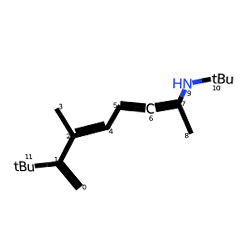 C=C(/C(C)=C/C=C=C(C)NC(C)(C)C)C(C)(C)C